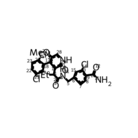 CCC(C(=O)NCc1ccc(C(N)=O)c(Cl)c1)c1c(-c2cc(Cl)ccc2C#N)c(OC)c[nH]c1=O